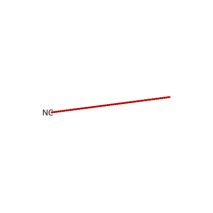 CC#CC#CC#CC#CC#CC#CC#CC#CC#CC#CC#CC#CC#CC#CC#CC#CC#CC#CC#CC#CC#CC#CC#CC#CC#CC#CC#CC#CC#CC#CC#CC#CC#CC#CC#CC#CC#CC#CC#CC#CC#CC#CC#CC#CC#CC#CC#CC#CC#CC#CC#CC#CC#CC#CC#CC#CC#CC#CC#CC#CC#N